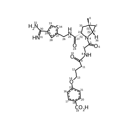 C[C@@]12C[C@@H]1N(C(=O)CNC(=O)CCCOc1ccc(C(=O)O)cc1)[C@H](C(=O)NCc1cc(C(=N)N)cs1)C2